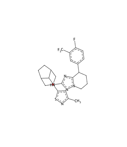 Cc1cc(N2CC3CCC(C2)C3Nc2nc3n(n2)CCCC3c2ccc(F)c(C(F)(F)F)c2)sn1